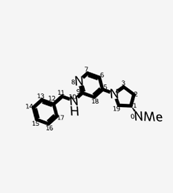 CN[C@H]1CCN(c2ccnc(NCc3ccccc3)c2)C1